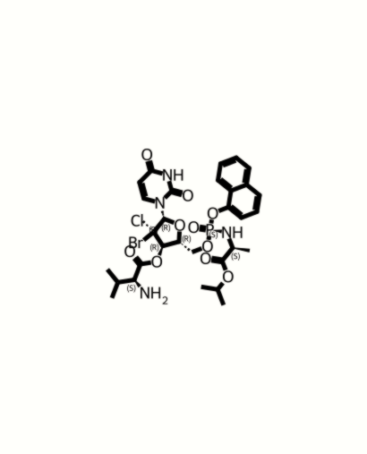 CC(C)OC(=O)[C@H](C)N[P@](=O)(OC[C@H]1O[C@@H](n2ccc(=O)[nH]c2=O)[C@](Cl)(Br)[C@@H]1OC(=O)[C@@H](N)C(C)C)Oc1cccc2ccccc12